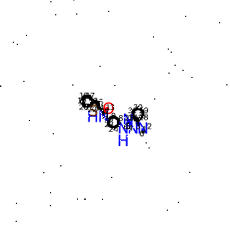 CN(C)c1nc(NC2CCC(NC(=O)c3cc4ccccc4s3)CC2)nc2c1CCCC2